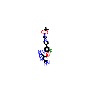 C[C@H]1Oc2c(F)cc(C3CCN(C4CN(C(=O)OC(C)(C)C)C4)CC3)cc2Nc2ncnc(-c3cnn(C)c3)c21